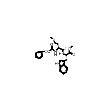 COC(=O)[C@H](Cc1c[nH]c2ccccc12)NC(=O)[C@H](CCSC)NC(=O)OCc1ccccc1